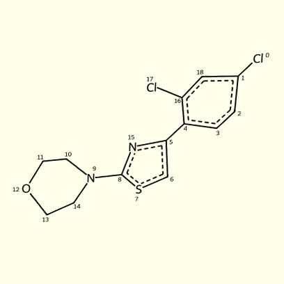 Clc1ccc(-c2csc(N3CCOCC3)n2)c(Cl)c1